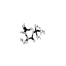 CN(NC(=O)S)C(=O)OC(C)(C)C